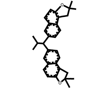 CC(C)C(c1ccc2c3c(ccc2c1)OC(C)(C)C3)c1ccc2c3c(ccc2c1)OC(C)(C)C3